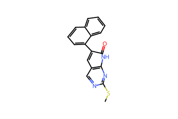 CSc1ncc2cc(-c3cccc4ccccc34)c(=O)[nH]c2n1